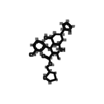 CC1=C(C(=O)OCC2CCCO2)C(c2cccc(Cl)c2)C2=C(CC(c3cccs3)CC2=O)N1